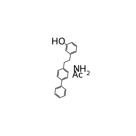 CC(N)=O.Oc1cccc(CCc2ccc(-c3ccccc3)cc2)c1